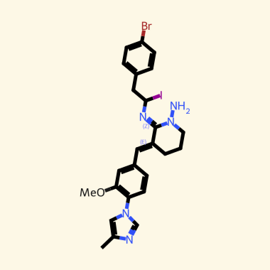 COc1cc(/C=C2\CCCN(N)\C2=N/C(I)Cc2ccc(Br)cc2)ccc1-n1cnc(C)c1